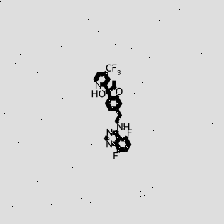 CC1Oc2cc(CCNc3ncnc4c(F)ccc(F)c34)ccc2C1(O)c1cc(C(F)(F)F)ccn1